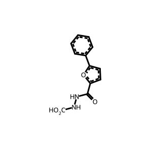 O=C(O)NNC(=O)c1ccc(-c2ccccc2)o1